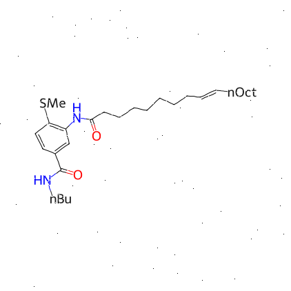 CCCCCCCCC=CCCCCCCCC(=O)Nc1cc(C(=O)NCCCC)ccc1SC